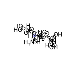 CC(C)(O/N=C(\C(=O)N[C@@H]1C(=O)N2C(C(=O)O)=C(CSc3cc(CO)nc4nc(C(=O)NO)nn34)CS[C@H]12)c1csc(N)n1)C(=O)NNC(=O)c1ccc(O)c(O)c1